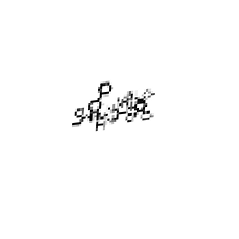 C=CC(=O)NC1CCC(c2ccccc2)CC1Nc1ncc2c(n1)N(C)C(=O)N(c1c(Cl)c(OC)cc(OC)c1Cl)C2